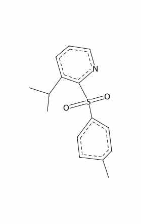 Cc1ccc(S(=O)(=O)c2ncccc2C(C)C)cc1